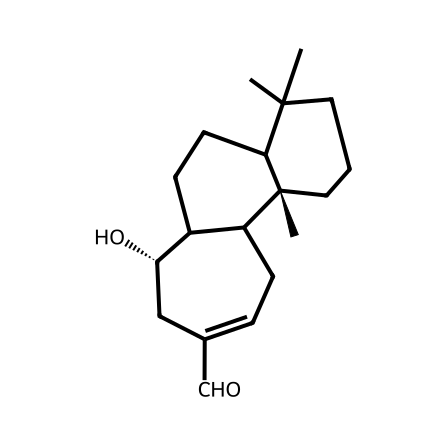 CC1(C)CCC[C@]2(C)C3CC=C(C=O)C[C@H](O)C3CCC12